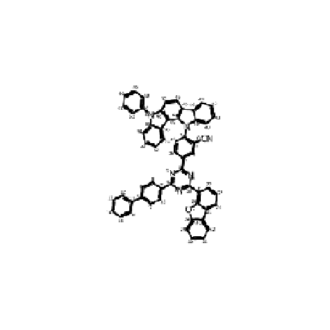 N#Cc1cc(-c2nc(-c3ccc(-c4ccccc4)cc3)nc(-c3cccc4c3oc3ccccc34)n2)ccc1-n1c2ccccc2c2ccc3c(c4ccccc4n3-c3ccccc3)c21